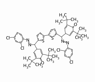 CC(C)(C)C1=CC(C(/N=N/c2ccc(Cl)cc2Cl)c2ccc(-c3ccc(C(/N=N/c4ccc(Cl)cc4Cl)C4C=C(C(C)(C)C)C(=O)C(C(C)(C)C)=C4)s3)s2)C=C(C(C)(C)C)C1=O